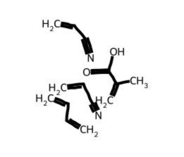 C=C(C)C(=O)O.C=CC#N.C=CC#N.C=CC=C